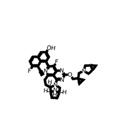 C#Cc1c(F)ccc2cc(O)cc(-c3nc4c5c(nc(OCC6(CN7CC8CC8C7)CC6)nc5c3F)N3C[C@H]5CC[C@H](N5)[C@H]3CC4)c12